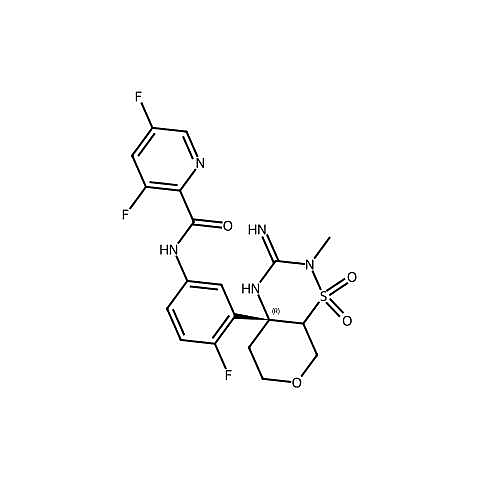 CN1C(=N)N[C@@]2(c3cc(NC(=O)c4ncc(F)cc4F)ccc3F)CCOCC2S1(=O)=O